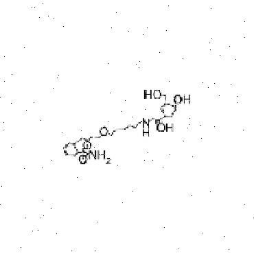 NS(=O)(=O)c1ccccc1CCCCOCCCCCCNC[C@H](O)c1ccc(O)c(CO)c1